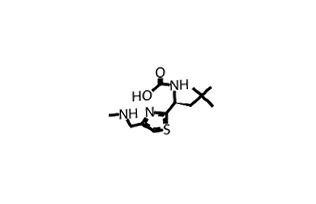 CNCc1csc([C@H](CC(C)(C)C)NC(=O)O)n1